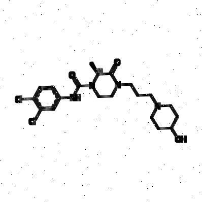 C[C@H]1C(=O)N(CCCN2CCC(O)CC2)CCN1C(=O)Nc1ccc(Cl)c(Cl)c1